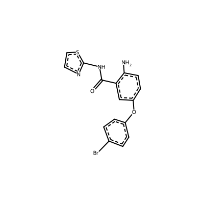 Nc1ccc(Oc2ccc(Br)cc2)cc1C(=O)Nc1nccs1